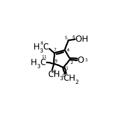 C=C1C(=O)C(CO)=C(C)C1(C)C